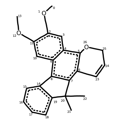 COc1cc2c3c(c4c(c2cc1OC)-c1ccccc1C4(C)C)C=CCO3